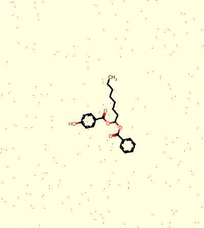 CCCCCCCC(OC(=O)c1ccccc1)OC(=O)c1ccc(O)cc1